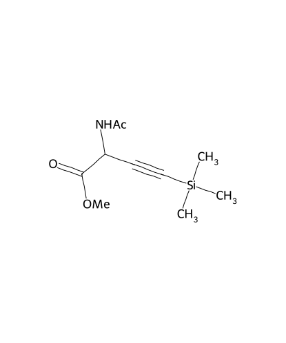 COC(=O)C(C#C[Si](C)(C)C)NC(C)=O